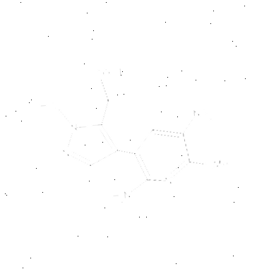 COc1nc(N)c(-c2cnn(C)c2CC(=O)O)cc1[N+](=O)[O-]